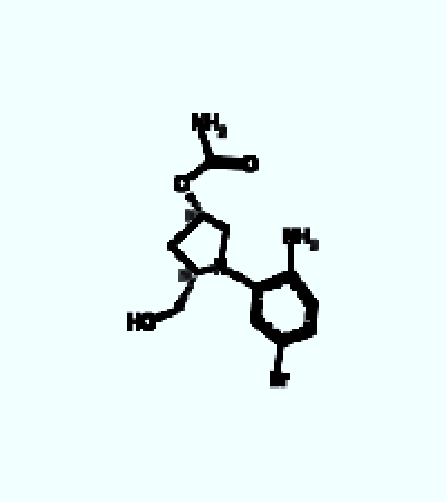 NC(=O)O[C@H]1C[C@@H](CO)N(c2cc(Br)ccc2N)C1